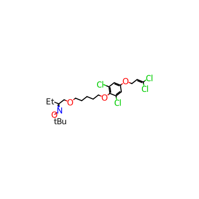 CCC(COCCCCCOc1c(Cl)cc(OCC=C(Cl)Cl)cc1Cl)=NOC(C)(C)C